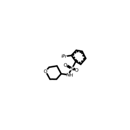 CC(C)c1ccccc1S(=O)(=O)NC1CCOCC1